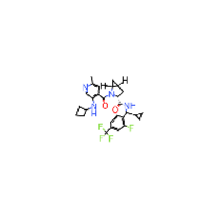 Cc1cc(C(=O)N2[C@@H](C(=O)NC(c3ccc(C(F)(F)F)cc3F)C3CC3)C[C@H]3C[C@H]32)c(NC2CCC2)cn1